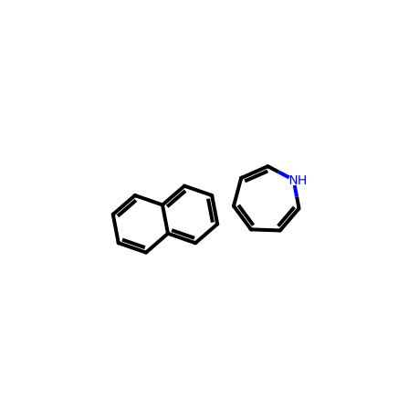 C1=CC=CNC=C1.c1ccc2ccccc2c1